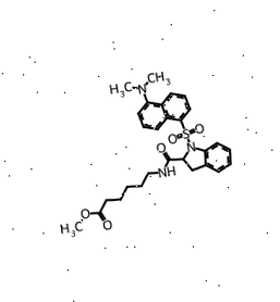 COC(=O)CCCCCNC(=O)C1Cc2ccccc2N1S(=O)(=O)c1cccc2c(N(C)C)cccc12